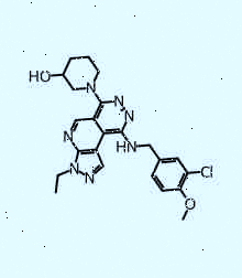 CCn1ncc2c3c(NCc4ccc(OC)c(Cl)c4)nnc(N4CCCC(O)C4)c3cnc21